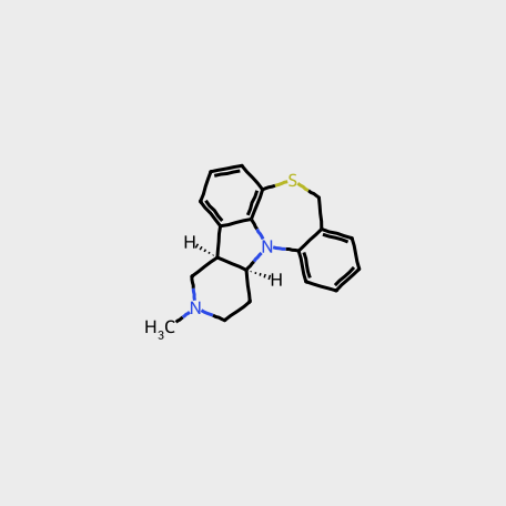 CN1CC[C@H]2[C@@H](C1)c1cccc3c1N2c1ccccc1CS3